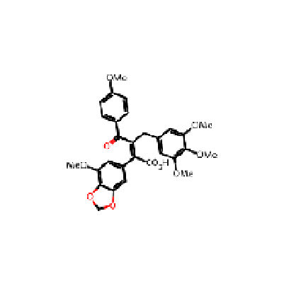 COc1ccc(C(=O)/C(Cc2cc(OC)c(OC)c(OC)c2)=C(/C(=O)O)c2cc(OC)c3c(c2)OCO3)cc1